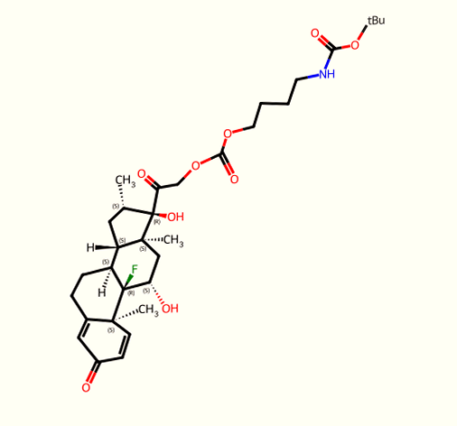 C[C@H]1C[C@H]2[C@@H]3CCC4=CC(=O)C=C[C@]4(C)[C@@]3(F)[C@@H](O)C[C@]2(C)[C@@]1(O)C(=O)COC(=O)OCCCCNC(=O)OC(C)(C)C